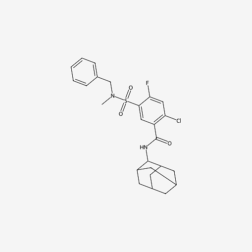 CN(Cc1ccccc1)S(=O)(=O)c1cc(C(=O)NC2C3CC4CC(C3)CC2C4)c(Cl)cc1F